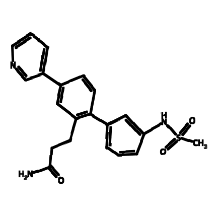 CS(=O)(=O)Nc1cccc(-c2ccc(-c3cccnc3)cc2CCC(N)=O)c1